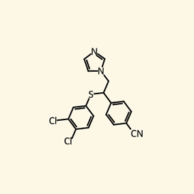 N#Cc1ccc(C(Cn2ccnc2)Sc2ccc(Cl)c(Cl)c2)cc1